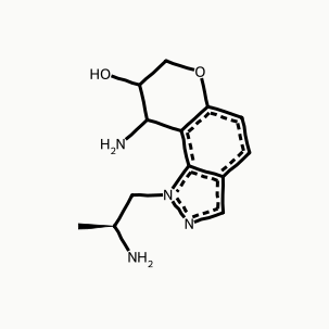 C[C@H](N)Cn1ncc2ccc3c(c21)C(N)C(O)CO3